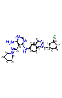 Nc1ncnc(Nc2ccc3c(cnn3Cc3cccc(F)c3)c2)c1C=NN1CCCCC1